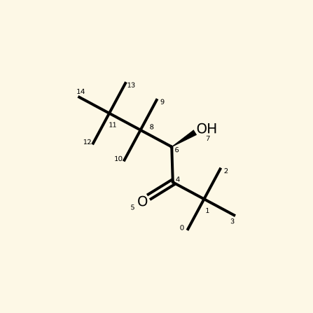 CC(C)(C)C(=O)[C@H](O)C(C)(C)C(C)(C)C